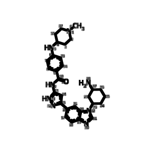 CN1CCC(Nc2ccc(C(=O)Nc3cc(-c4ccc5ncn(C6CCCC(N)C6)c5c4)n[nH]3)cc2)CC1